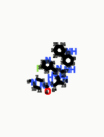 C[C@H](NC(=O)N1CCN(C)CC1)c1cnn2c(N[C@H]3CCc4[nH]c5ccccc5c4C3)nc(-c3cncc(F)c3)nc12